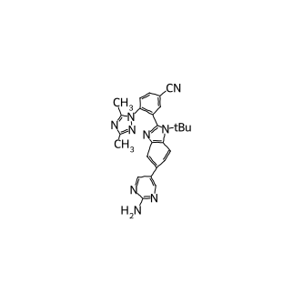 Cc1nc(C)n(-c2ccc(C#N)cc2-c2nc3cc(-c4cnc(N)nc4)ccc3n2C(C)(C)C)n1